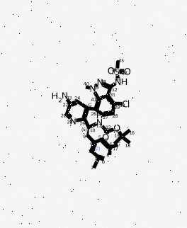 C=C(C)/C=C(\C=C(C)C)C[C@H](NC(=O)OC(C)(C)C)c1ncc(N)cc1-c1ccc(Cl)c2c(NS(C)(=O)=O)nn(C)c12